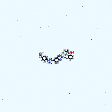 Cc1cccc(C)c1N1/C(=N/c2ncc3cc(-c4ncn(-c5ccc(OC(F)(F)F)cc5)n4)ccc3n2)SCC1(C)O